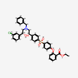 CCOC(=O)c1ccccc1Oc1ccc(S(=O)(=O)c2ccc(CCN(Cc3ccccc3)C[C@H](O)c3cccc(Cl)c3)cc2)cc1